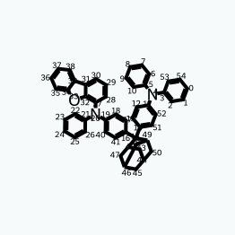 c1ccc(N(c2ccccc2)c2ccc(C3(c4ccc(N(c5ccccc5)c5cccc6c5oc5ccccc56)cc4)C4CC5CC(C4)CC3C5)cc2)cc1